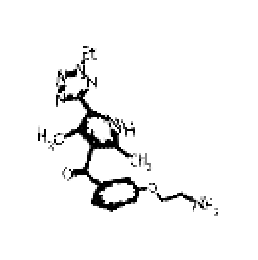 CCn1nnc(-c2[nH]c(C)c(C(=O)c3cccc(OCCN)c3)c2C)n1